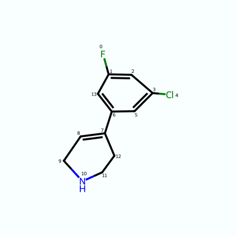 Fc1cc(Cl)cc(C2=CCNCC2)c1